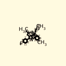 CCCCC1C(c2ccc(F)cc2)=NN(c2cccc(C)c2)C1(C)C(=O)NCCOC